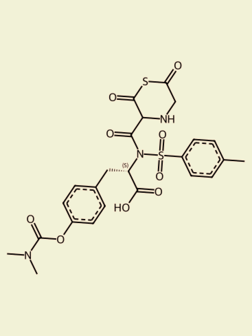 Cc1ccc(S(=O)(=O)N(C(=O)C2NCC(=O)SC2=O)[C@@H](Cc2ccc(OC(=O)N(C)C)cc2)C(=O)O)cc1